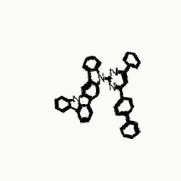 c1ccc(-c2ccc(-c3cc(-c4ccccc4)nc(-n4c5ccccc5c5cc6c(cc54)c4cccc5c7ccccc7n6c54)n3)cc2)cc1